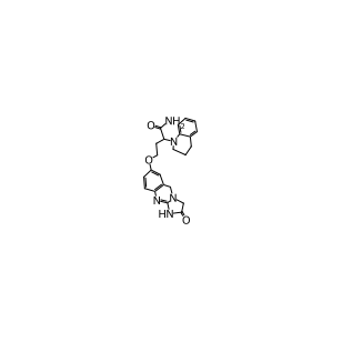 NC(=O)C(CCOc1ccc2c(c1)CN1CC(=O)NC1=N2)N1CCCc2ccccc21